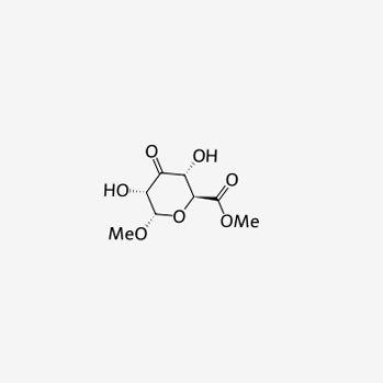 COC(=O)[C@H]1O[C@H](OC)[C@H](O)C(=O)[C@@H]1O